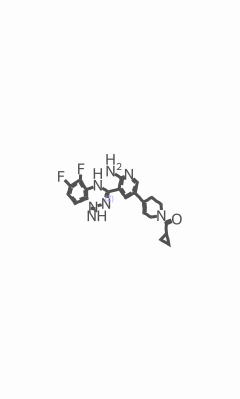 N=N/N=C(\Nc1cccc(F)c1F)c1cc(C2=CCN(C(=O)C3CC3)CC2)cnc1N